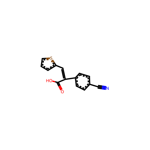 N#Cc1ccc(C(=Cc2cccs2)C(=O)O)cc1